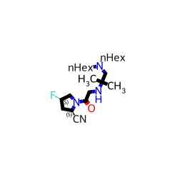 CCCCCCN(CCCCCC)CC(C)(C)NCC(=O)N1C[C@@H](F)C[C@H]1C#N